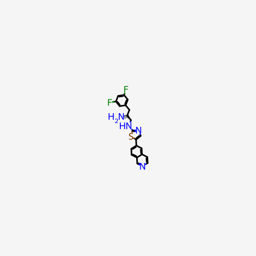 N[C@@H](CNc1ncc(-c2ccc3cnccc3c2)s1)Cc1cc(F)cc(F)c1